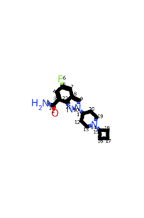 NC(=O)c1cc(F)cc2cn(C3CCN(C4CCC4)CC3)nc12